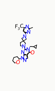 Cc1nc(N2CC3(CCN(c4nc5c(cnn5C5CCCCO5)c(=O)n4CC4CC4)C3)C2)cc(C(F)(F)F)n1